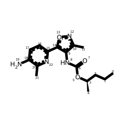 CCC[C@@H](C)OC(=O)Nc1c(C)noc1-c1ccc(N)c(C)n1